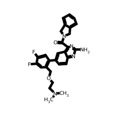 CN(C)CCOCc1cc(F)c(F)cc1-c1ccc2nc(N)nc(C(=O)N3Cc4ccccc4C3)c2c1